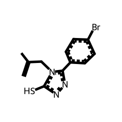 C=C(C)Cn1c(S)nnc1-c1ccc(Br)cc1